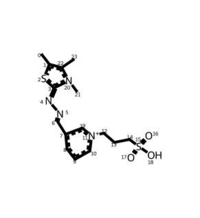 Cc1sc(=NN=Cc2ccc[n+](CCCS(=O)(=O)O)c2)n(C)c1C